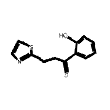 O=C(CCc1nccs1)c1ccccc1O